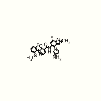 COc1cccc(F)c1-n1nccc(C(=O)Nc2cc(F)c3nn(C)cc3c2N2CC[C@H](N)C2)c1=O